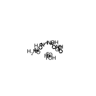 CC(C)(CCn1ccc2cc(C(=O)NN)ccc21)NC[C@H](O)c1cccc(NS(=O)(=O)c2ccccc2)c1.O=C(O)C(F)(F)F